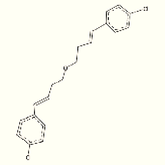 Clc1ccc(C=CCCOCCC=Cc2ccc(Cl)cc2)cc1